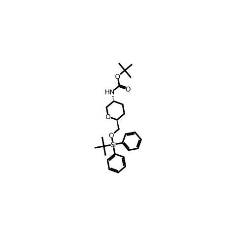 CC(C)(C)OC(=O)N[C@@H]1CC[C@@H](CO[Si](c2ccccc2)(c2ccccc2)C(C)(C)C)OC1